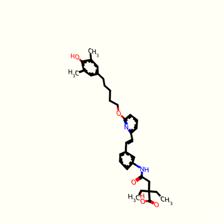 CCC(CC)(CC(=O)Nc1cccc(C=Cc2cccc(OCCCCCc3cc(C)c(O)c(C)c3)n2)c1)C(=O)O